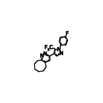 Fc1ccc(-n2ncc(-c3cc4c(nn3)CCCCCC4)c2C(F)(F)F)cc1